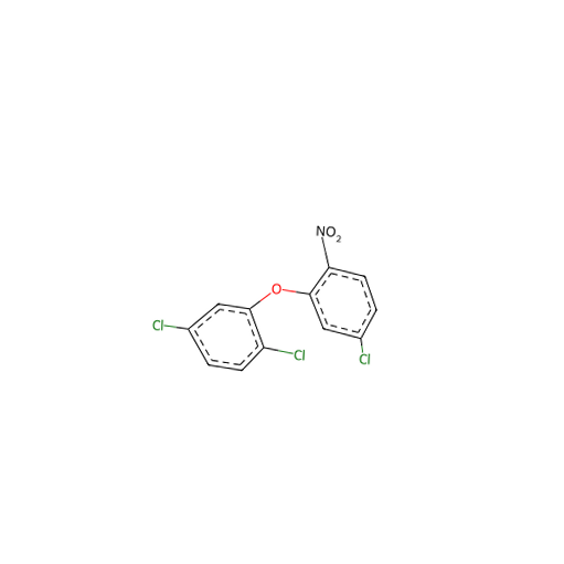 O=[N+]([O-])c1ccc(Cl)cc1Oc1cc(Cl)ccc1Cl